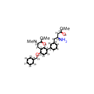 CN[C@@H](Cc1cc(-c2cccc(CC(N)CC(=O)OC)c2)ccc1OCc1ccccc1)C(=O)OC